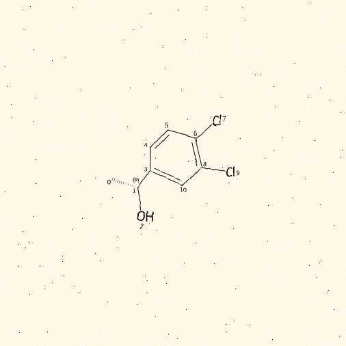 C[C@@H](O)c1ccc(Cl)c(Cl)c1